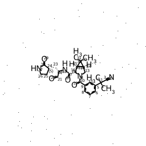 CC(C)(C#N)c1cccc(C(=O)N2C[C@H]3[C@@H]([C@H]2C(=O)N[C@H](C=O)C[C@@H]2CCNC2=O)C3(C)C)c1